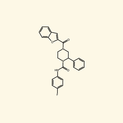 O=C(c1cc2ccccc2o1)N1CCN(C(=O)Nc2ccc(F)cc2)C(c2ccccc2)C1